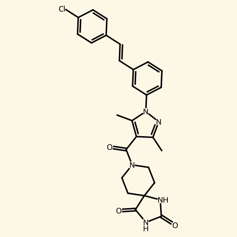 Cc1nn(-c2cccc(C=Cc3ccc(Cl)cc3)c2)c(C)c1C(=O)N1CCC2(CC1)NC(=O)NC2=O